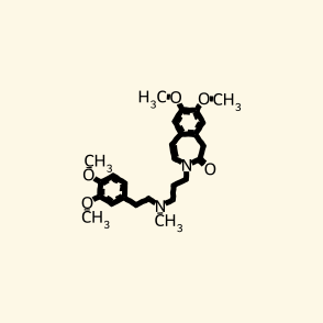 COc1ccc(CCN(C)CCCN2C=Cc3cc(OC)c(OC)cc3CC2=O)cc1OC